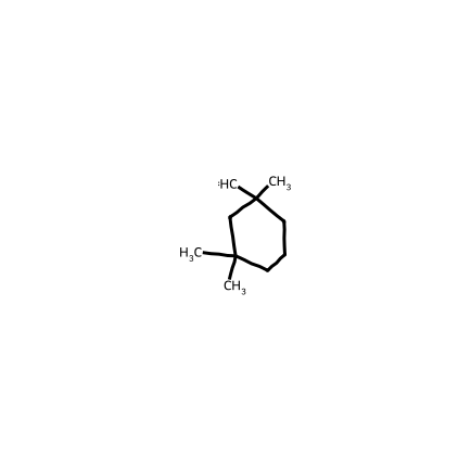 [CH]C1(C)CCCC(C)(C)C1